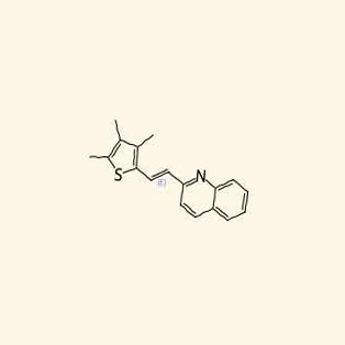 Cc1sc(/C=C/c2ccc3ccccc3n2)c(C)c1C